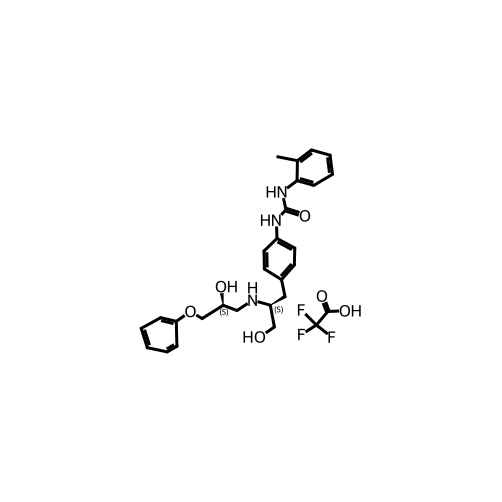 Cc1ccccc1NC(=O)Nc1ccc(C[C@@H](CO)NC[C@H](O)COc2ccccc2)cc1.O=C(O)C(F)(F)F